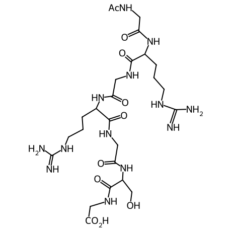 CC(=O)NCC(=O)NC(CCCNC(=N)N)C(=O)NCC(=O)NC(CCCNC(=N)N)C(=O)NCC(=O)NC(CO)C(=O)NCC(=O)O